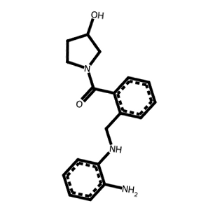 Nc1ccccc1NCc1ccccc1C(=O)N1CCC(O)C1